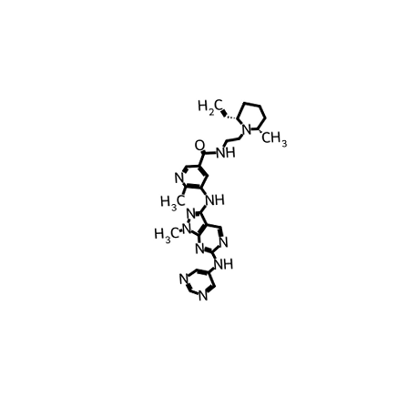 C=C[C@@H]1CCC[C@H](C)N1CCNC(=O)c1cnc(C)c(Nc2nn(C)c3nc(Nc4cncnc4)ncc23)c1